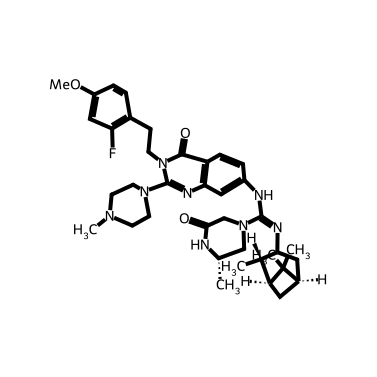 COc1ccc(CCn2c(N3CCN(C)CC3)nc3cc(N/C(=N/C4C[C@H]5C[C@@H]([C@@H]4C)C5(C)C)N4CC(=O)N[C@@H](C)C4)ccc3c2=O)c(F)c1